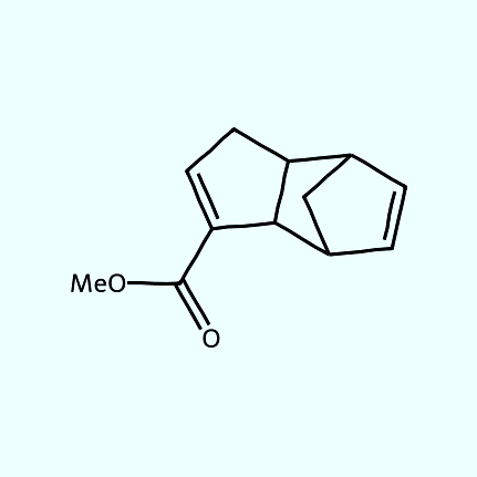 COC(=O)C1=CCC2C3C=CC(C3)C12